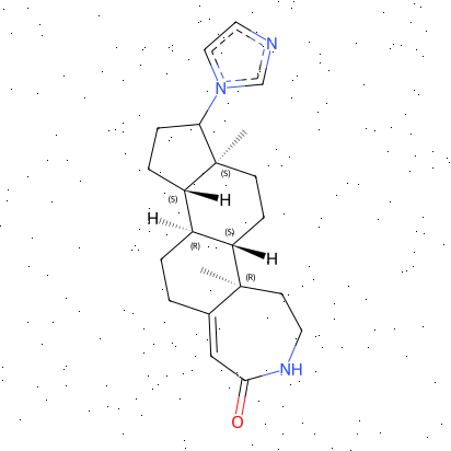 C[C@]12CCNC(=O)C=C1CC[C@@H]1[C@@H]2CC[C@]2(C)C(n3ccnc3)CC[C@@H]12